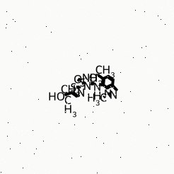 CCc1ccc2cnn(C)c2c1NC(=O)N=[S@@](N)(=O)c1ncc(C(C)(C)O)s1